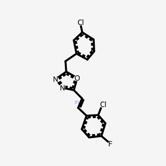 Fc1ccc(/C=C/c2nnc(Cc3cccc(Cl)c3)o2)c(Cl)c1